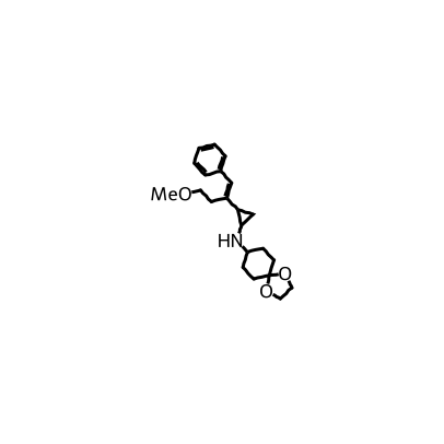 COCC/C(=C\c1ccccc1)C1CC1NC1CCC2(CC1)OCCO2